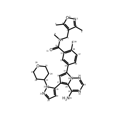 Cc1noc(C)c1CN(C)C(=O)c1cc(-c2cc(-c3ccnn3C3CCOCC3)c3c(N)ncnn23)ccc1F